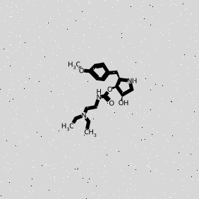 CCN(CC)CCNC(=O)O[C@@H]1[C@@H](O)CN[C@@H]1Cc1ccc(OC)cc1